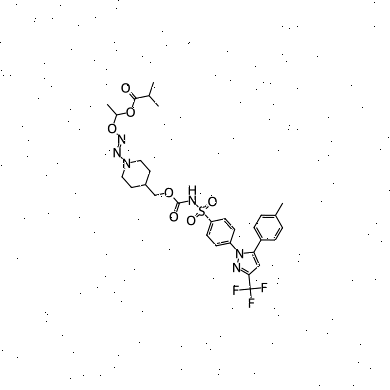 Cc1ccc(-c2cc(C(F)(F)F)nn2-c2ccc(S(=O)(=O)NC(=O)OCC3CCN(N=NOC(C)OC(=O)C(C)C)CC3)cc2)cc1